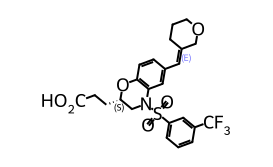 O=C(O)CC[C@H]1CN(S(=O)(=O)c2cccc(C(F)(F)F)c2)c2cc(/C=C3\CCCOC3)ccc2O1